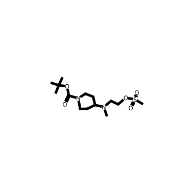 CN(CCOS(C)(=O)=O)C1CCN(C(=O)OC(C)(C)C)CC1